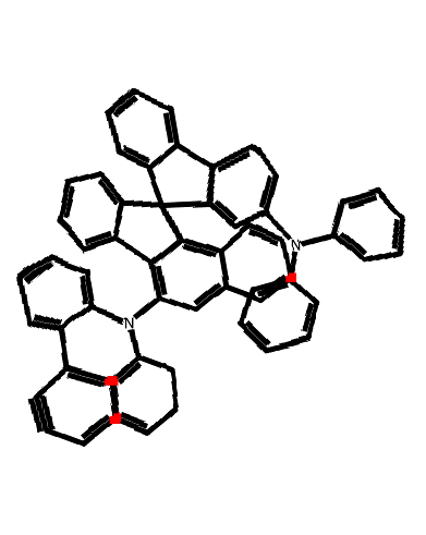 c1cccc(-c2ccccc2N(C2=CC=CCC2)c2cc3ccccc3c3c2-c2ccccc2C32c3ccccc3-c3ccc(N(c4ccccc4)c4ccccc4)cc32)c#1